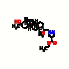 CCOC(=O)c1cnn(CC(=O)[C@H]2CC[C@H]3[C@@H]4CC[C@@H]5C[C@](C)(O)CC[C@]5(C)[C@H]4CC[C@]23C)c1